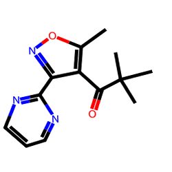 Cc1onc(-c2ncccn2)c1C(=O)C(C)(C)C